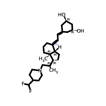 C[C@@H](CN1CCC(C(F)F)CC1)[C@H]1CC[C@H]2/C(=C/C=C3C[C@@H](O)C[C@H](O)C3)CCC[C@]12C